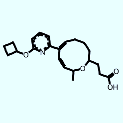 CC1/C=C\C(c2cccc(OC3CCC3)n2)=C/CCCC(CCC(=O)O)O1